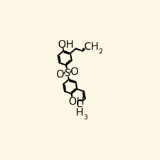 C=CCc1cc(S(=O)(=O)c2ccc(O)c(/C=C\C)c2)ccc1O